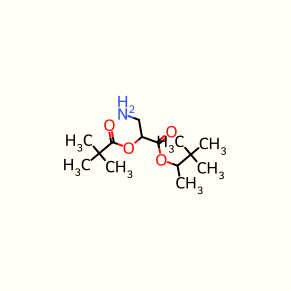 CC(OC(=O)C(CN)OC(=O)C(C)(C)C)C(C)(C)C